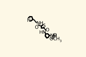 CS(=O)(=O)Nc1cccc(NC(=O)c2cc(C(=O)NCCc3cccnc3)cs2)c1